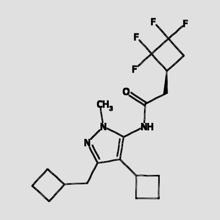 Cn1nc(CC2CCC2)c(C2CCC2)c1NC(=O)C[C@@H]1CC(F)(F)C1(F)F